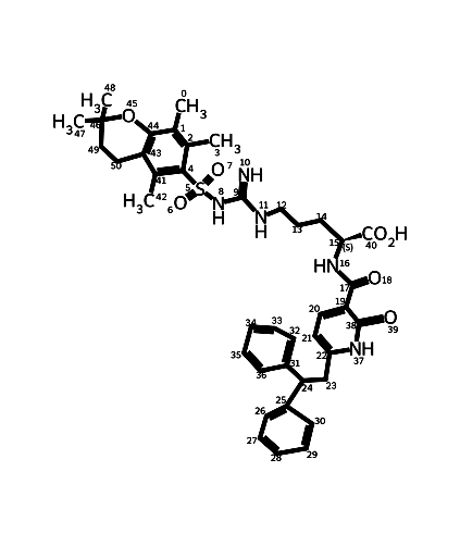 Cc1c(C)c(S(=O)(=O)NC(=N)NCCC[C@H](NC(=O)c2ccc(CC(c3ccccc3)c3ccccc3)[nH]c2=O)C(=O)O)c(C)c2c1OC(C)(C)CC2